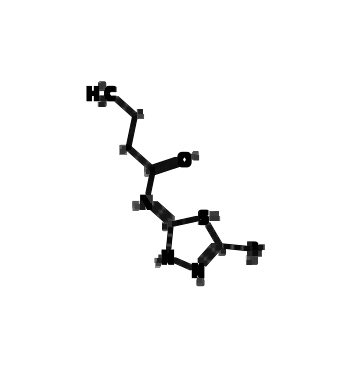 CCCC(=O)N=C1[N]N=C(Br)S1